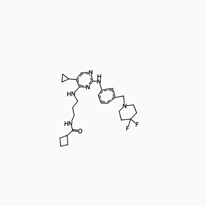 O=C(NCCCNc1nc(Nc2cccc(CN3CCC(F)(F)CC3)c2)ncc1C1CC1)C1CCC1